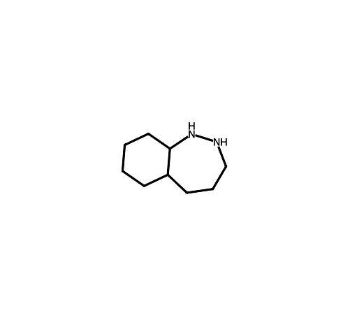 C1CCC2NNCCCC2C1